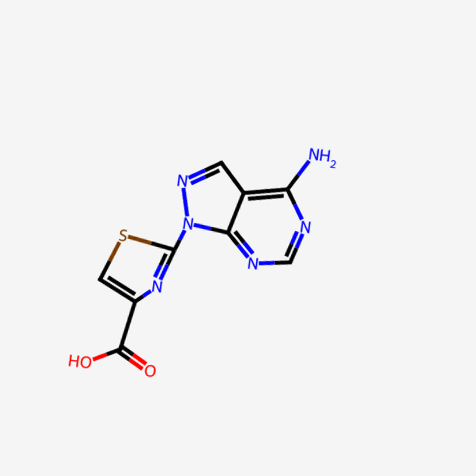 Nc1ncnc2c1cnn2-c1nc(C(=O)O)cs1